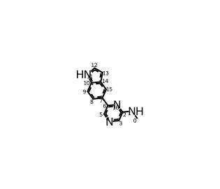 CNc1cncc(-c2ccc3[nH]ccc3c2)n1